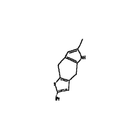 Cc1cc2c([nH]1)Cc1cc(C(C)C)sc1C2